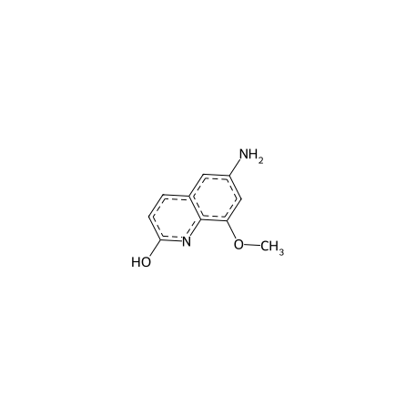 COc1cc(N)cc2ccc(O)nc12